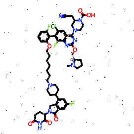 CN1CCC[C@H]1COc1nc(N2CCN(C(=O)O)C(CC#N)C2)c2cc(Cl)c(-c3c(F)cccc3OCCCCCCCN3CCC(c4cc(F)cc5c4CN(C4CCC(=O)NC4=O)C5=O)CC3)c(F)c2n1